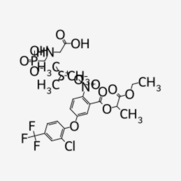 CCOC(=O)C(C)OC(=O)c1cc(Oc2ccc(C(F)(F)F)cc2Cl)ccc1[N+](=O)[O-].C[S+](C)C.O=C(O)CNCP(=O)([O-])O